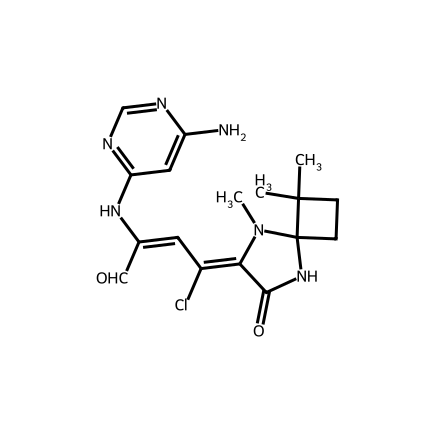 CN1/C(=C(Cl)\C=C(/C=O)Nc2cc(N)ncn2)C(=O)NC12CCC2(C)C